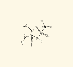 CCCSP(=S)(OCC)N(C)S(=O)(=O)N(C)C